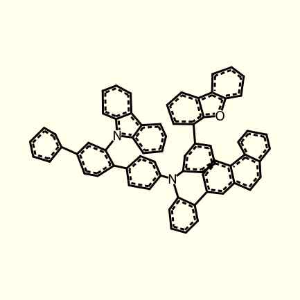 c1ccc(-c2ccc(-c3ccc(N(c4cccc(-c5cccc6c5oc5ccccc56)c4)c4ccccc4-c4ccc5c(ccc6ccccc65)c4)cc3)c(-n3c4ccccc4c4ccccc43)c2)cc1